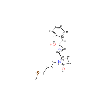 CSCCCCN1C(=O)CC[C@@H]1/C=C/C(O)Cc1ccccc1